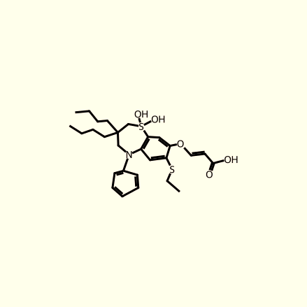 CCCCC1(CCCC)CN(c2ccccc2)c2cc(SCC)c(OC=CC(=O)O)cc2S(O)(O)C1